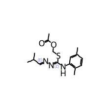 CC(=O)OCS/C(=N\N=C\C(C)C)Nc1cc(C)ccc1C